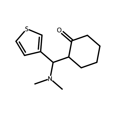 CN(C)C(c1ccsc1)C1CCCCC1=O